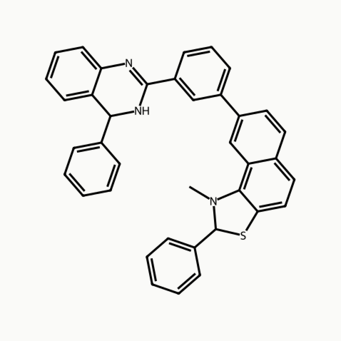 CN1c2c(ccc3ccc(-c4cccc(C5=Nc6ccccc6C(c6ccccc6)N5)c4)cc23)SC1c1ccccc1